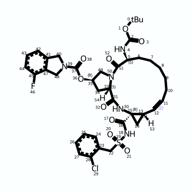 CC(C)(C)OC(=O)N[C@H]1CCCCC/C=C\[C@@H]2C[C@@]2(C(=O)NS(=O)(=O)Cc2ccccc2Cl)NC(=O)[C@@H]2C[C@@H](OC(=O)N3Cc4cccc(F)c4C3)CN2C1=O